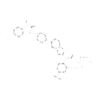 CC[C@H](C)[C@H](N[C@@H](C)OC(=O)N(c1nc2ccc(-c3ccc(NC(=O)[C@H](C)c4ccc(F)cc4)cc3)cn2n1)c1ccc(S(C)(=O)=O)cc1OC)C(=O)O.Cl